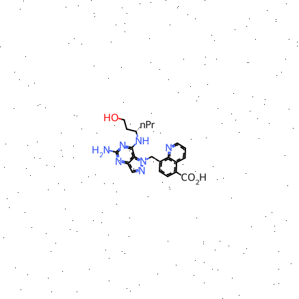 CCC[C@@H](CCO)Nc1nc(N)nc2cnn(Cc3ccc(C(=O)O)c4cccnc34)c12